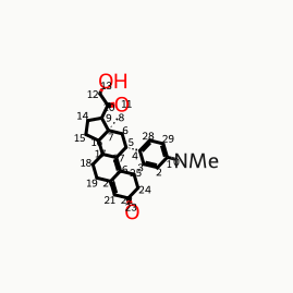 CNc1ccc([C@H]2C[C@]3(C)C(C(=O)CO)CCC3C3CCC4=CC(=O)CCC4=C32)cc1